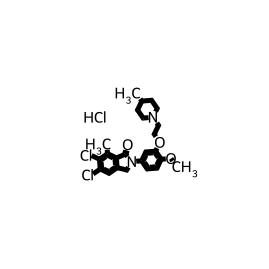 COc1ccc(N2Cc3cc(Cl)c(Cl)c(C)c3C2=O)cc1OCCN1CCC(C)CC1.Cl